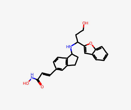 O=C(C=Cc1ccc2c(c1)CCC2NC(CCO)c1cc2ccccc2o1)NO